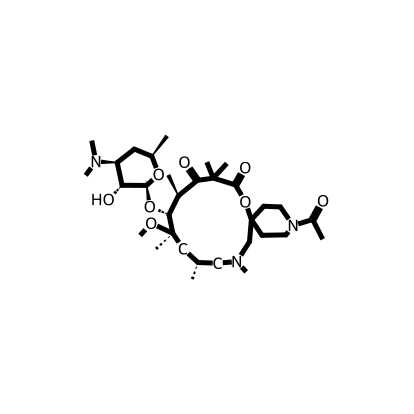 CO[C@]1(C)C[C@@H](C)CN(C)CC2(CCN(C(C)=O)CC2)OC(=O)C(C)(C)C(=O)[C@H](C)[C@H]1O[C@@H]1O[C@H](C)C[C@H](N(C)C)[C@H]1O